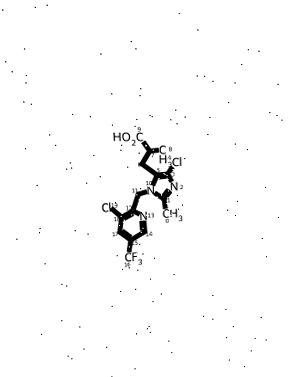 Cc1nc(Cl)c(CC(C)C(=O)O)n1Cc1ncc(C(F)(F)F)cc1Cl